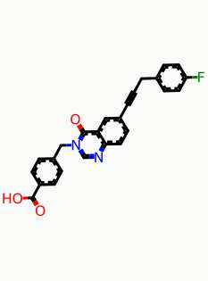 O=C(O)c1ccc(Cn2cnc3ccc(C#CCc4ccc(F)cc4)cc3c2=O)cc1